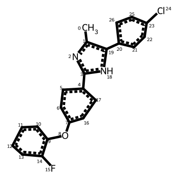 Cc1nc(-c2ccc(Oc3ccccc3F)cc2)[nH]c1-c1ccc(Cl)cc1